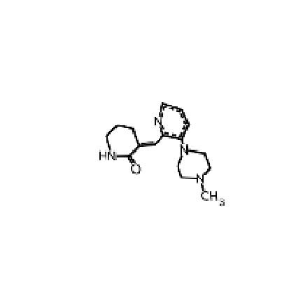 CN1CCN(c2cccnc2C=C2CCCNC2=O)CC1